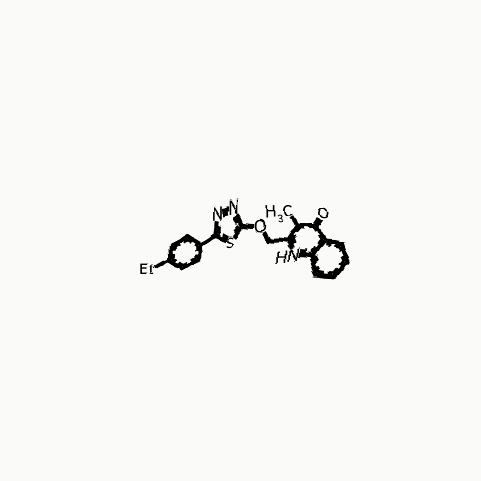 CCc1ccc(-c2nnc(OCc3[nH]c4ccccc4c(=O)c3C)s2)cc1